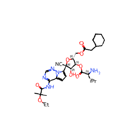 CCOC(C)(C)C(=O)Nc1ncnn2c([C@]3(C#N)O[C@H](COC(=O)CC4CCCCC4)[C@@H](OC(=O)[C@@H](N)C(C)C)[C@H]3O)ccc12